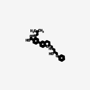 CC(C)CNc1cc(-c2ccc3c(c2)CC[C@H](CNC[C@H](O)COc2ccccc2)O3)ccc1C(=O)O